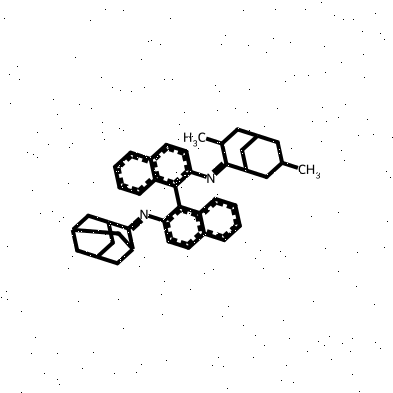 CC1CC2CC(C)/C(=N\c3ccc4ccccc4c3-c3c(N=C4C5CC6CC(C5)CC4C6)ccc4ccccc34)C(C1)C2